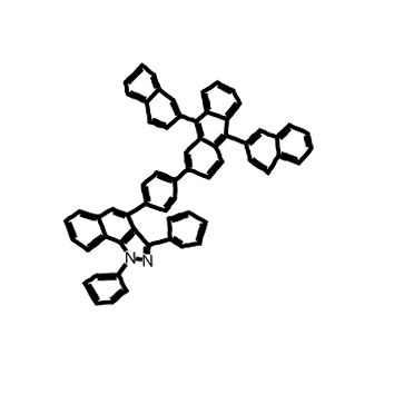 c1ccc(-c2nn(-c3ccccc3)c3c2c(-c2ccc(-c4ccc5c(-c6ccc7ccccc7c6)c6ccccc6c(-c6ccc7ccccc7c6)c5c4)cc2)cc2ccccc23)cc1